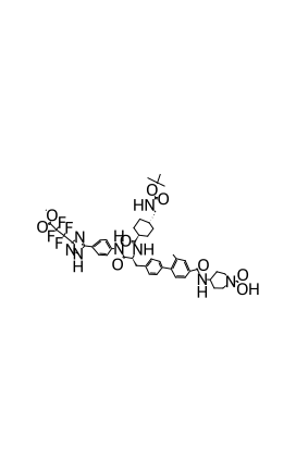 COC(=O)C(F)(F)C(F)(F)c1n[nH]c(-c2ccc(NC(=O)[C@H](Cc3ccc(-c4ccc(C(=O)NC5CCN(C(=O)O)CC5)cc4C)cc3)NC(=O)[C@H]3CC[C@H](CNC(=O)OC(C)(C)C)CC3)cc2)n1